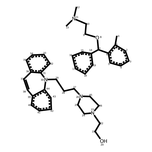 Cc1ccccc1C(OCCN(C)C)c1ccccc1.OCCN1CCN(CCCN2c3ccccc3C=Cc3ccccc32)CC1